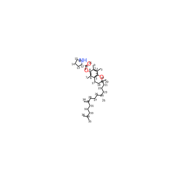 Cc1c(C)c2c(c(C)c1OC(=O)[C@@H]1CCCN1)CC[C@@](C)(CCC[C@H](C)CCC[C@H](C)CCCC(C)C)O2